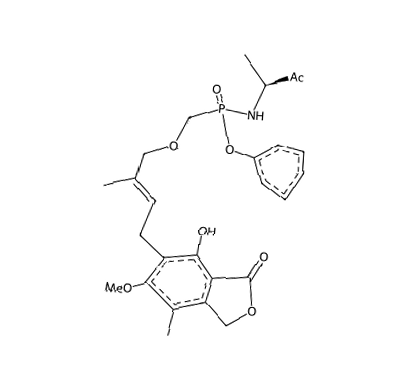 COc1c(C)c2c(c(O)c1C/C=C(\C)COCP(=O)(N[C@@H](C)C(C)=O)Oc1ccccc1)C(=O)OC2